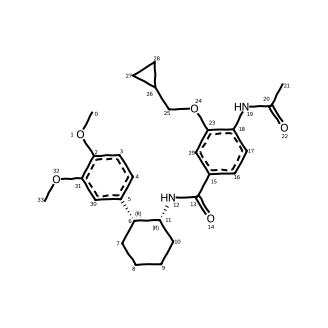 COc1ccc([C@H]2CCCC[C@H]2NC(=O)c2ccc(NC(C)=O)c(OCC3CC3)c2)cc1OC